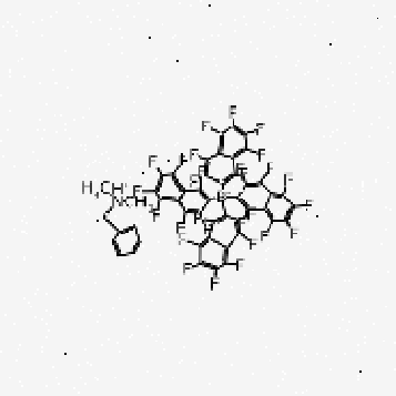 C[NH+](C)Cc1ccccc1.Fc1c(F)c(F)c2c(F)c([B-](c3c(F)c(F)c4c(F)c(F)c(F)c(F)c4c3F)(c3c(F)c(F)c4c(F)c(F)c(F)c(F)c4c3F)c3c(F)c(F)c4c(F)c(F)c(F)c(F)c4c3F)c(F)c(F)c2c1F